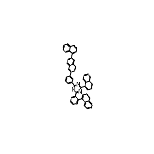 c1cc(-c2ccc3cc(-c4cccc5ccccc45)ccc3c2)cc(-c2nc(-c3ccccc3-c3cccc4ccccc34)nc(-c3cccc4ccccc34)n2)c1